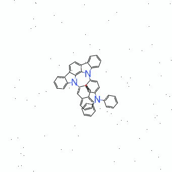 c1ccc(N(c2ccccc2)c2ccc(-n3c4ccccc4c4ccc5c6ccccc6n(-c6ccc7ccccc7c6)c5c43)cc2)cc1